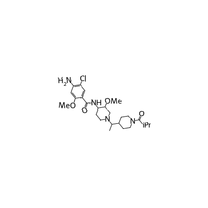 COc1cc(N)c(Cl)cc1C(=O)NC1CCN(C(C)C2CCN(C(=O)C(C)C)CC2)CC1OC